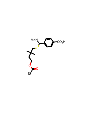 CCC(=O)OCCC(C)(C)CSC(NC)c1ccc(C(=O)O)cc1